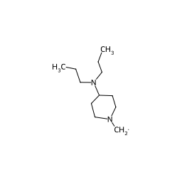 [CH2]N1CCC(N(CCC)CCC)CC1